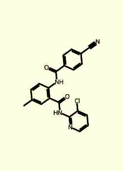 Cc1ccc(NC(=O)c2ccc(C#N)cc2)c(C(=O)Nc2ncccc2Cl)c1